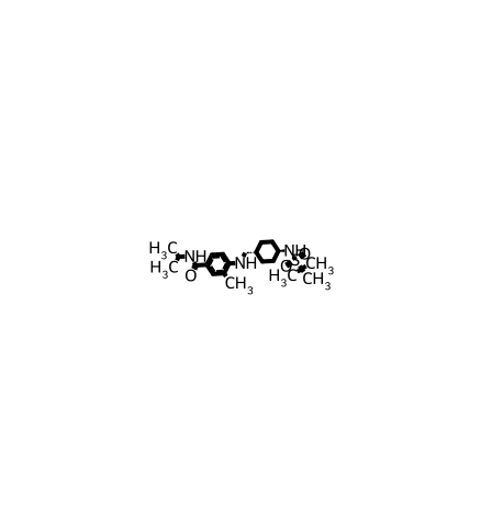 Cc1cc(C(=O)NC(C)C)ccc1NC[C@H]1CC[C@H](NS(=O)(=O)C(C)(C)C)CC1